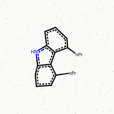 CCCc1cccc2[nH]c3cccc(CCC)c3c12